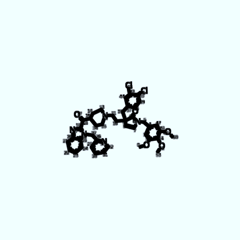 COc1cc(CN2C=CC(CCN3CCC(C(=O)c4nc5ccccc5n4Cc4ccccn4)CC3)(Cc3ccc(Cl)c(Cl)c3)C2=O)cc(OC)c1OC